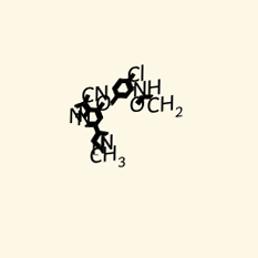 C=CC(=O)Nc1cc(COc2cc(-c3cnn(C)c3)cn3ncc(C#N)c23)ccc1Cl